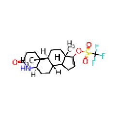 C[C@]12CCC(=O)N[C@@H]1CC[C@@H]1[C@@H]2CC[C@]2(C)C(OS(=O)(=O)C(F)(F)F)=CC[C@@H]12